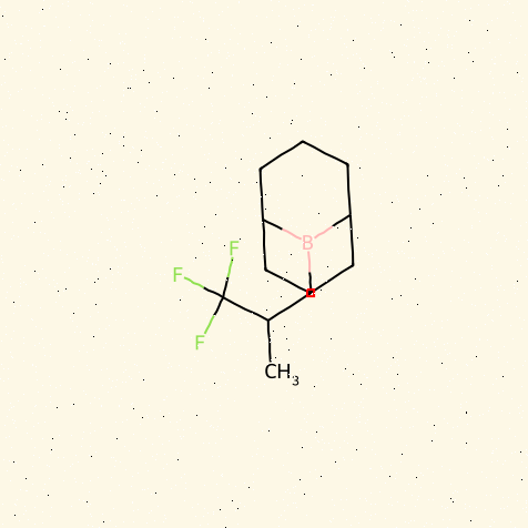 CC(CB1C2CCCC1CCC2)C(F)(F)F